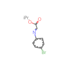 CC(C)OC(=O)C=Nc1ccc(Br)cc1